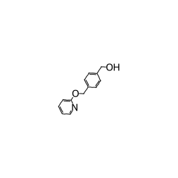 OCc1ccc(COc2ccccn2)cc1